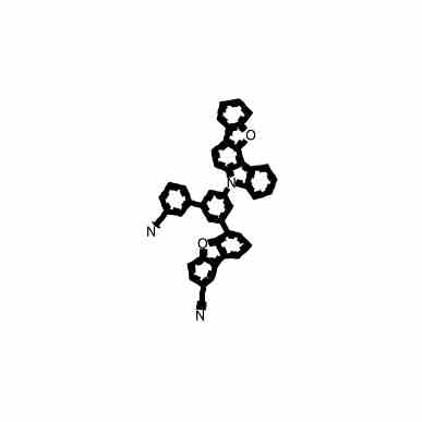 N#Cc1cccc(-c2cc(-c3cccc4c3oc3ccc(C#N)cc34)cc(-n3c4ccccc4c4c5oc6ccccc6c5ccc43)c2)c1